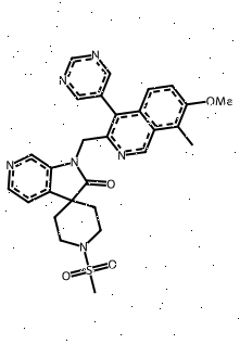 COc1ccc2c(-c3cncnc3)c(CN3C(=O)C4(CCN(S(C)(=O)=O)CC4)c4ccncc43)ncc2c1C